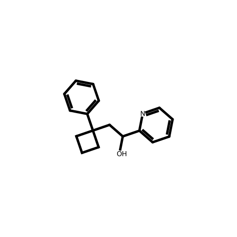 OC(CC1(c2ccccc2)CCC1)c1ccccn1